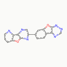 c1cnc2c(c1)oc1nc(-c3ccc4c(c3)oc3nncnc34)cnc12